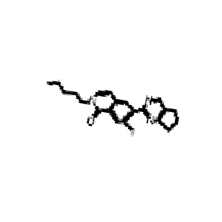 CCCCCn1ccc2cc(-c3ncc4c(n3)CCC4)c(F)cc2c1=O